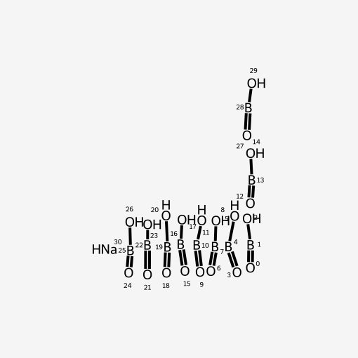 O=BO.O=BO.O=BO.O=BO.O=BO.O=BO.O=BO.O=BO.O=BO.O=BO.[NaH]